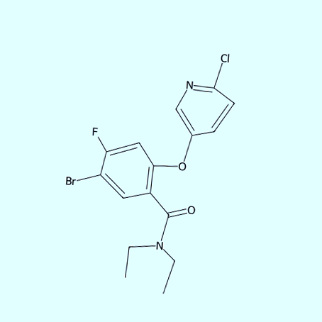 CCN(CC)C(=O)c1cc(Br)c(F)cc1Oc1ccc(Cl)nc1